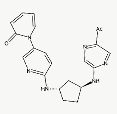 CC(=O)c1cnc(N[C@H]2CC[C@H](Nc3ccc(-n4ccccc4=O)cn3)C2)cn1